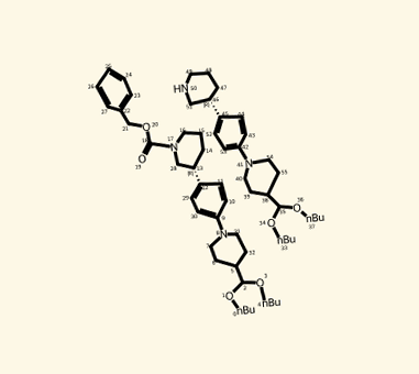 CCCCOC(OCCCC)C1CCN(c2ccc([C@H]3CCCN(C(=O)OCc4ccccc4)C3)cc2)CC1.CCCCOC(OCCCC)C1CCN(c2ccc([C@H]3CCCNC3)cc2)CC1